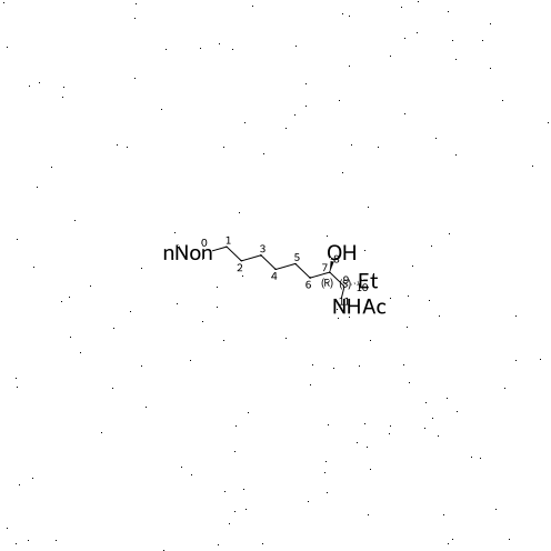 CCCCCCCCCCCCCCC[C@@H](O)[C@H](CC)NC(C)=O